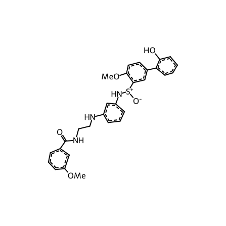 COc1cccc(C(=O)NCCNc2cccc(N[S+]([O-])c3cc(-c4ccccc4O)ccc3OC)c2)c1